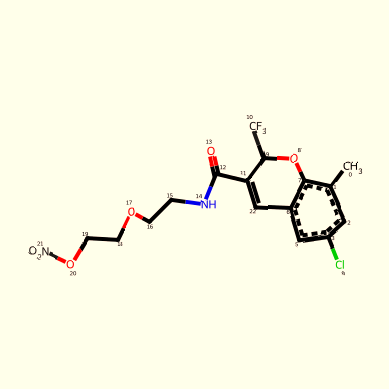 Cc1cc(Cl)cc2c1OC(C(F)(F)F)C(C(=O)NCCOCCO[N+](=O)[O-])=C2